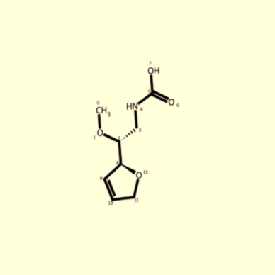 CO[C@H](CNC(=O)O)[C@@H]1C=CCO1